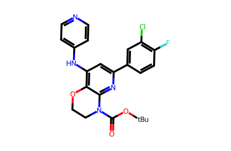 CC(C)(C)OC(=O)N1CCOc2c(Nc3ccncc3)cc(-c3ccc(F)c(Cl)c3)nc21